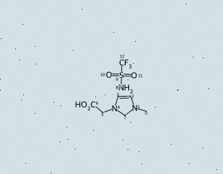 CN1C=CN(CC(=O)O)C1.NS(=O)(=O)C(F)(F)F